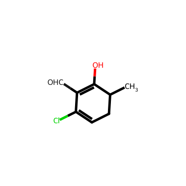 CC1CC=C(Cl)C(C=O)=C1O